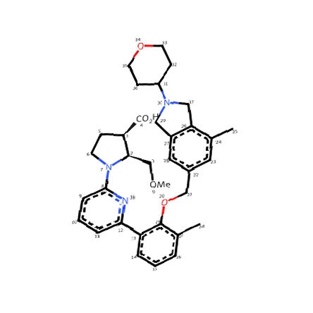 COC[C@@H]1[C@H](C(=O)O)CCN1c1cccc(-c2cccc(C)c2OCc2cc(C)c3c(c2)CN(C2CCOCC2)C3)n1